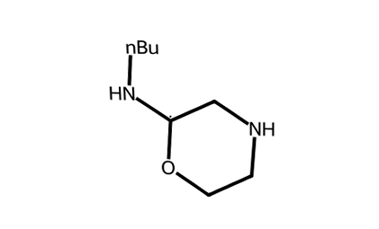 CCCCN[C]1CNCCO1